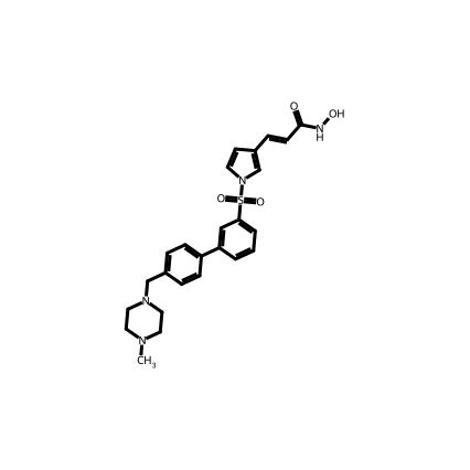 CN1CCN(Cc2ccc(-c3cccc(S(=O)(=O)n4ccc(C=CC(=O)NO)c4)c3)cc2)CC1